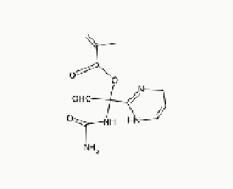 C=C(C)C(=O)OC(C=O)(NC(N)=O)C1=NCC=CN1